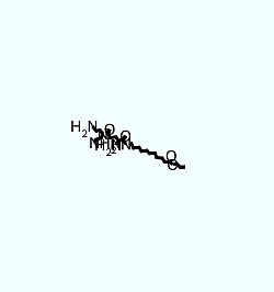 C=CCOC(=O)CCCCCCCCCCNC(=O)C(N)CCC(=O)N(CCN)CCN